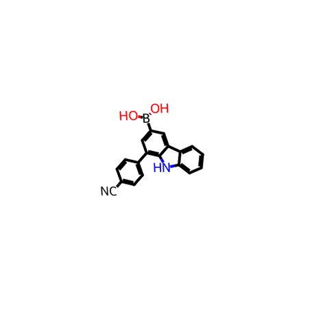 N#Cc1ccc(-c2cc(B(O)O)cc3c2[nH]c2ccccc23)cc1